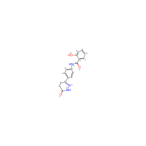 O=C1CCC(c2ccc(NC(=O)c3ccccc3O)cc2)=NN1